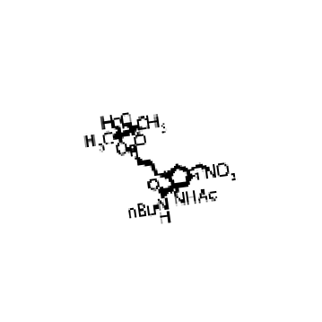 CCCCNC(=O)[C@]1(NC(C)=O)C[C@H](C[N+](=O)[O-])C[C@@H]1CCCB1OC(C)(C)C(C)(C)O1